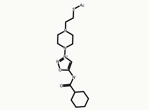 CC(=O)SCCN1CCN([n+]2cc([N-]C(=O)C3CCCCC3)on2)CC1